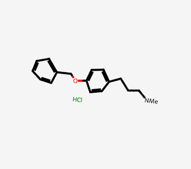 CNCCCc1ccc(OCc2ccccc2)cc1.Cl